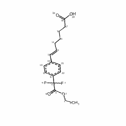 CCOC(=O)C(F)(F)c1ccc(C=CCCCCC(=O)O)cc1